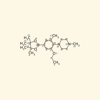 CCOc1cc(B2OC(C)(C)C(C)(C)O2)cc(C)c1N1CCN(C)CC1